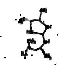 C[C@H]1NC(N[C@@H](N)N(C)C)NC1O